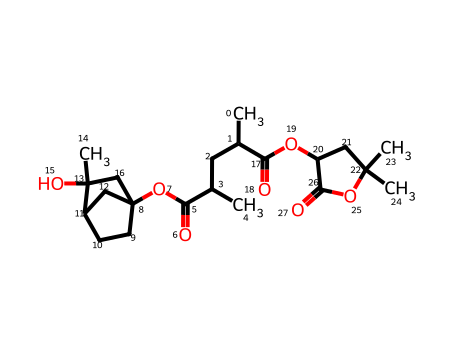 CC(CC(C)C(=O)OC12CCC(C1)C(C)(O)C2)C(=O)OC1CC(C)(C)OC1=O